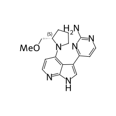 COC[C@@H]1CCCN1c1ccnc2[nH]cc(-c3ccnc(N)n3)c12